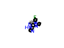 Cc1ncccc1NC1=CC2=Nc3ccccc3N(c3ccc(F)cc3)C2C/C1=N\C(C)C